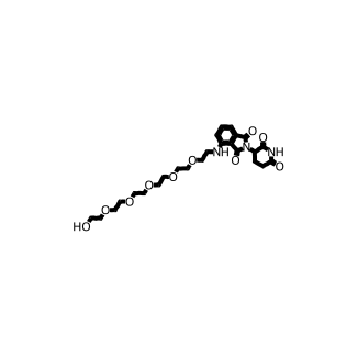 O=C1CCC(N2C(=O)c3cccc(NCCOCCOCCOCCOCCOCCO)c3C2=O)C(=O)N1